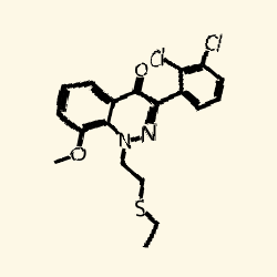 CCSCCn1nc(-c2cccc(Cl)c2Cl)c(=O)c2cccc(OC)c21